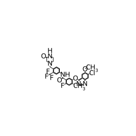 COc1cc2c(Oc3cc(C(=O)Nc4ccc(CN5CCNC(=O)C5)c(C(F)(F)F)c4)c(F)cc3C)ncnc2cc1Cl